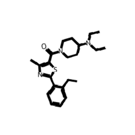 CCc1ccccc1-c1nc(C)c(C(=O)N2CCC(N(CC)CC)CC2)s1